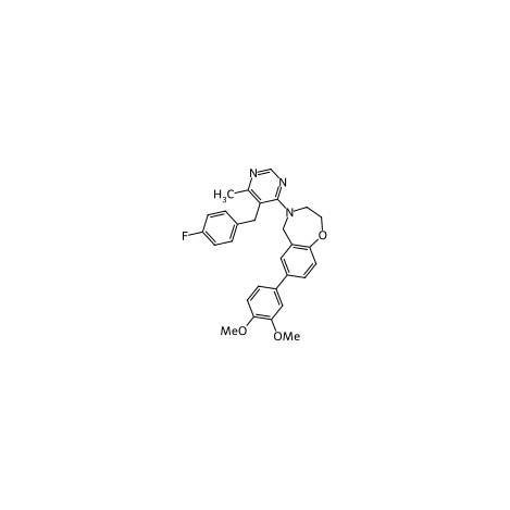 COc1ccc(-c2ccc3c(c2)CN(c2ncnc(C)c2Cc2ccc(F)cc2)CCO3)cc1OC